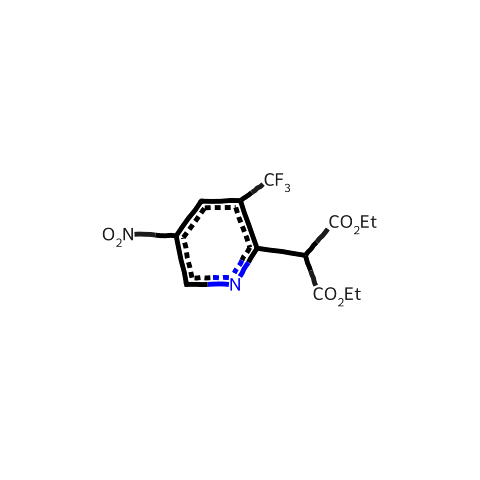 CCOC(=O)C(C(=O)OCC)c1ncc([N+](=O)[O-])cc1C(F)(F)F